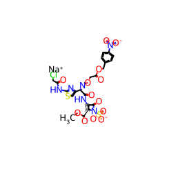 COC(=O)[C@H]1[C@@H](NC(=O)C(=NOCC(=O)OCc2ccc([N+](=O)[O-])cc2)c2csc(NC(=O)CCl)n2)C(=O)N1S(=O)(=O)[O-].[Na+]